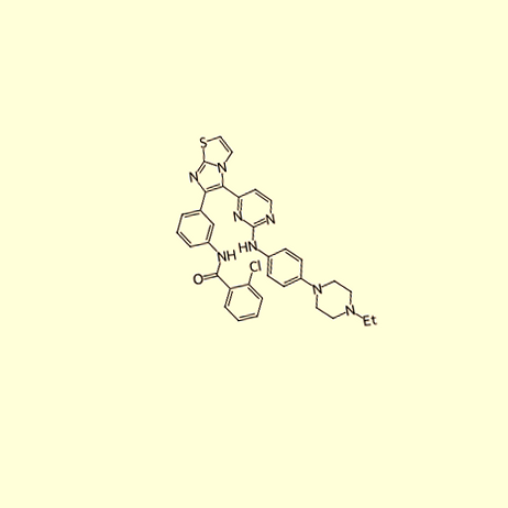 CCN1CCN(c2ccc(Nc3nccc(-c4c(-c5cccc(NC(=O)c6ccccc6Cl)c5)nc5sccn45)n3)cc2)CC1